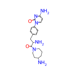 Nc1ccn(-c2ccc(CC(N)C(=O)N3CCCC(N)CC3)cc2)c(=O)n1